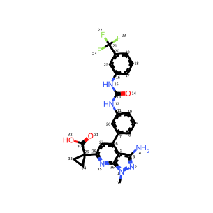 Cn1nc(N)c2c(-c3cccc(NC(=O)Nc4cccc(C(F)(F)F)c4)c3)cc(C3(C(=O)O)CC3)nc21